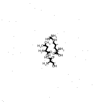 CC(C)C[C@@H](N)C(=O)O.N=C(N)NCCC[C@@H](N)C(=O)O.N[C@H](CO)C(=O)O